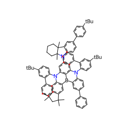 CC(C)(C)c1ccc(-c2ccc3c(c2)C2(C)CCCCC2(C)N3c2cc3c4c(c2)N(c2ccc(C(C)(C)C)cc2-c2ccccc2)c2cc5c(cc2B4c2cc(-c4ccccc4)ccc2N3c2ccc(C(C)(C)C)cc2-c2ccccc2)C(C)(C)CC5(C)C)cc1